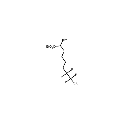 CCCC(SCCCC(F)(F)C(F)(F)C(F)(F)F)C(=O)OCC